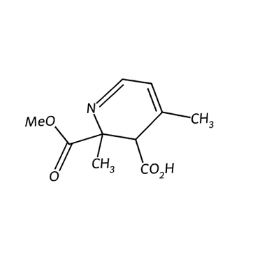 COC(=O)C1(C)N=CC=C(C)C1C(=O)O